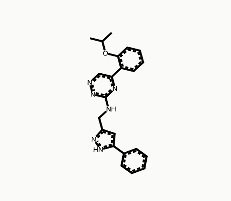 CC(C)Oc1ccccc1-c1cnnc(NCc2cc(-c3ccccc3)[nH]n2)n1